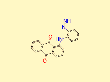 N=Nc1ccccc1Nc1cccc2c1C(=O)c1ccccc1C2=O